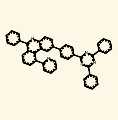 c1ccc(-c2nc(-c3ccccc3)nc(-c3ccc(-c4ccc5nc(-c6ccccc6)c6cccc(-c7ccccn7)c6c5c4)cc3)n2)cc1